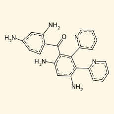 Nc1ccc(C(=O)c2c(N)cc(N)c(-c3ccccn3)c2-c2ccccn2)c(N)c1